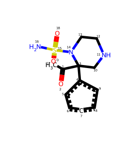 CC(=O)C1(c2ccccc2)CNCCN1S(N)(=O)=O